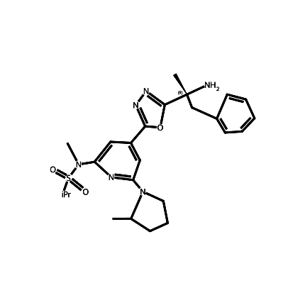 CC1CCCN1c1cc(-c2nnc([C@](C)(N)Cc3ccccc3)o2)cc(N(C)S(=O)(=O)C(C)C)n1